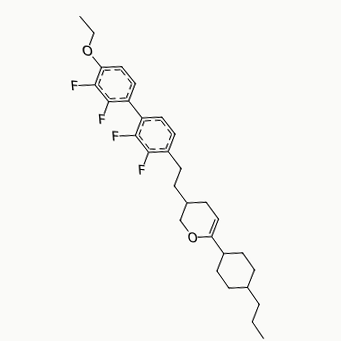 CCCC1CCC(C2=CCC(CCc3ccc(-c4ccc(OCC)c(F)c4F)c(F)c3F)CO2)CC1